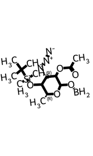 BOC1O[C@H](C)C(O[Si](C)(C)C(C)(C)C)[C@H](N=[N+]=[N-])C1OC(C)=O